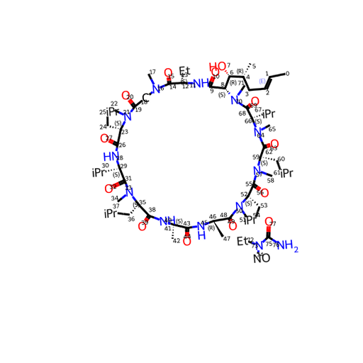 C/C=C/C[C@@H](C)[C@@H](O)[C@H]1C(=O)N[C@@H](CC)C(=O)N(C)CC(=O)N(C)[C@@H](CC(C)C)C(=O)N[C@@H](C(C)C)C(=O)N(C)[C@@H](CC(C)C)C(=O)N[C@@H](C)C(=O)N[C@H](C)C(=O)N(C)[C@@H](CC(C)C)C(=O)N(C)[C@@H](CC(C)C)C(=O)N(C)[C@@H](C(C)C)C(=O)N1C.CCN(N=O)C(N)=O